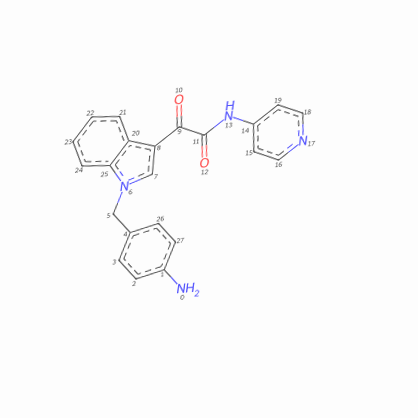 Nc1ccc(Cn2cc(C(=O)C(=O)Nc3ccncc3)c3ccccc32)cc1